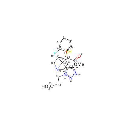 COC(=O)C(c1ccccc1F)C1(c2cnnn2CCC(=O)O)C2CN1CCC2S